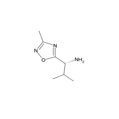 Cc1noc([C@H](N)C(C)C)n1